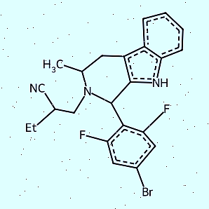 CCC(C#N)CN1C(C)Cc2c([nH]c3ccccc23)C1c1c(F)cc(Br)cc1F